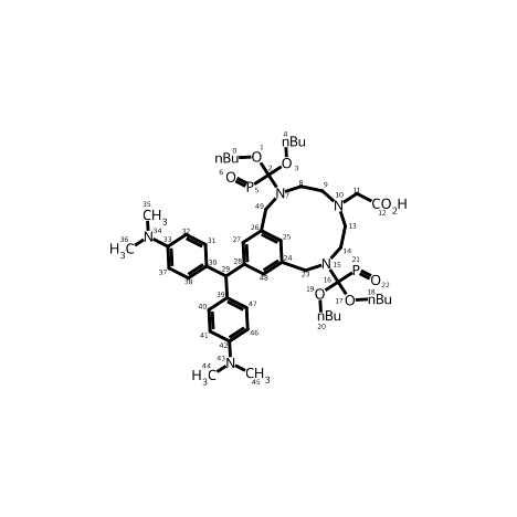 CCCCOC(OCCCC)(P=O)N1CCN(CC(=O)O)CCN(C(OCCCC)(OCCCC)P=O)Cc2cc(cc(C(c3ccc(N(C)C)cc3)c3ccc(N(C)C)cc3)c2)C1